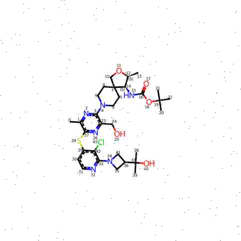 Cc1nc(N2CCC3(CC2)CO[C@@H](C)[C@H]3NC(=O)OC(C)(C)C)c(CO)nc1Sc1ccnc(N2CC(C(C)(C)O)C2)c1Cl